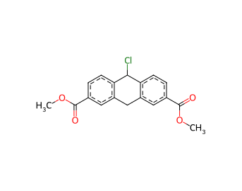 COC(=O)c1ccc2c(c1)Cc1cc(C(=O)OC)ccc1C2Cl